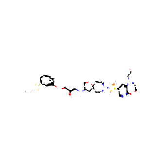 CNS(=O)(=O)c1cccc(OCC(O)CNC2COC3(CCN(S(=O)(=O)c4cnc5c(c4)N(CCO)CCO5)CC3)C2)c1